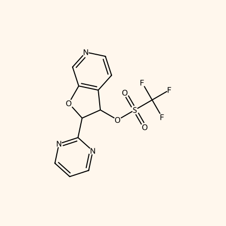 O=S(=O)(OC1c2ccncc2OC1c1ncccn1)C(F)(F)F